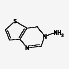 NN1C=Nc2ccsc2C1